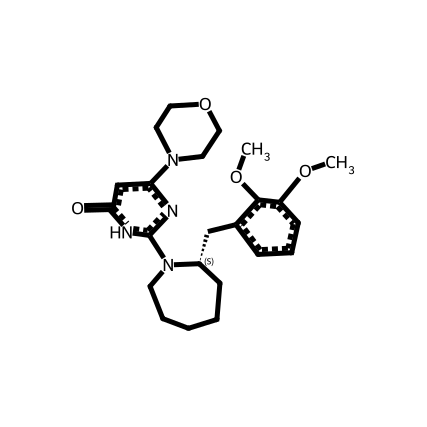 COc1cccc(C[C@@H]2CCCCCN2c2nc(N3CCOCC3)cc(=O)[nH]2)c1OC